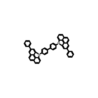 c1ccc(-c2cc3ccc4cccc5c4c3c(c2)n5-c2ccc(-c3ccc(-n4c5cccc6ccc7cc(-c8ccccc8)cc4c7c65)cc3)cc2)cc1